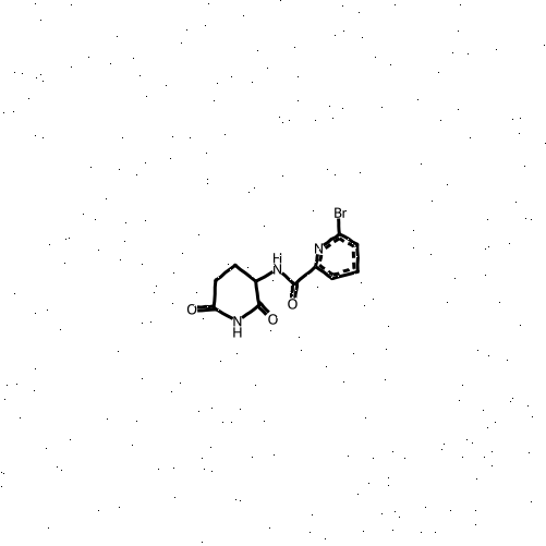 O=C1CCC(NC(=O)c2cccc(Br)n2)C(=O)N1